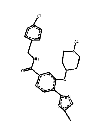 CC(=O)N1CCC(Oc2cc(C(=O)NCc3ccc(Cl)cc3)ncc2-c2ncc(C)s2)CC1